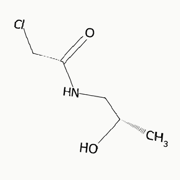 C[C@H](O)CNC(=O)CCl